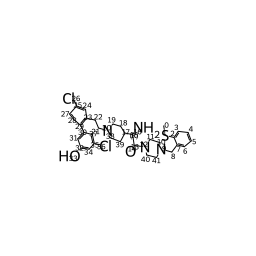 CSc1ccccc1CN1CCN(C(=O)[C@H](N)C2CCN(CCc3cc(Cl)ccc3-c3cc(O)cc(Cl)c3)CC2)CC1